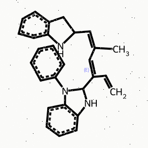 C=C/C(=C\C(C)=CC1Cc2ccccc2N1)C1Nc2ccccc2N1c1ccccc1